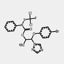 CC(C)(C)C(OC(=O)N(SC(F)(Cl)Cl)c1ccccc1)C(Oc1ccc(Br)cc1)n1cncn1